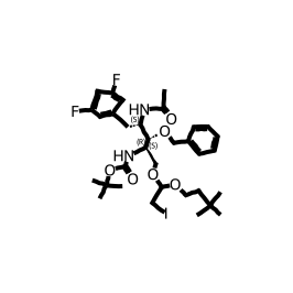 CC(=O)N[C@@H](Cc1cc(F)cc(F)c1)[C@H](OCc1ccccc1)[C@@H](COC(CI)OCCC(C)(C)C)NC(=O)OC(C)(C)C